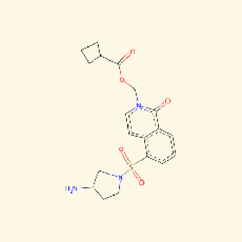 NC1CCN(S(=O)(=O)c2cccc3c(=O)n(COC(=O)C4CCC4)ccc23)C1